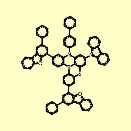 c1ccc(-c2ccc(N3c4cc(-c5cc(-c6ccccc6)cc6c5oc5ccccc56)ccc4B4c5ccc(-c6cc(-c7ccccc7)cc7c6oc6ccccc67)cc5Sc5cc(-n6c7ccccc7c7ccccc76)cc3c54)cc2)cc1